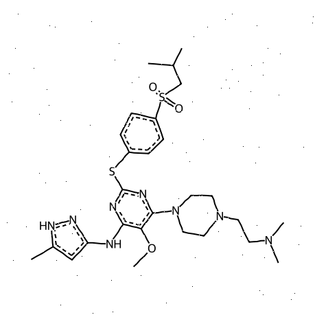 COc1c(Nc2cc(C)[nH]n2)nc(Sc2ccc(S(=O)(=O)CC(C)C)cc2)nc1N1CCN(CCN(C)C)CC1